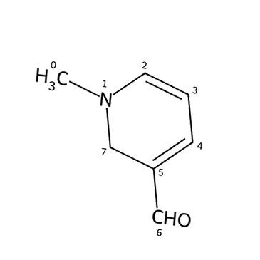 CN1C=CC=C(C=O)C1